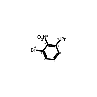 CC(C)c1cccc(Br)c1[N+](=O)[O-]